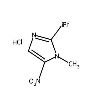 CC(C)c1ncc([N+](=O)[O-])n1C.Cl